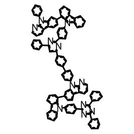 c1ccc(-c2cc(-c3ccc(-c4ccc(-n5c6cc(-c7cccc8c9ccccc9n(-c9ccc(-c%10nc(-c%11ccccc%11)nc(-c%11ccccc%11)n%10)cc9)c78)ccc6c6cccnc65)cc4)cc3)nc(-c3ccc(-n4c5ccccc5c5cccc(-c6ccc7c8cccnc8n(-c8ccccc8)c7c6)c54)cc3)n2)cc1